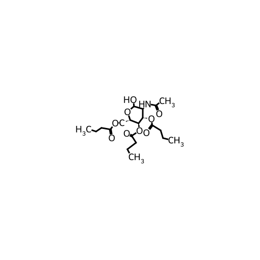 CCCC(=O)OC[C@@H]1OC(O)[C@H](NC(C)=O)[C@H](OC(=O)CCC)[C@H]1OC(=O)CCC